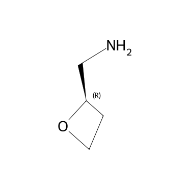 NC[C@H]1CCO1